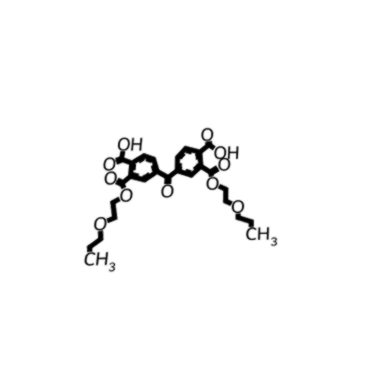 CCCOCCOC(=O)c1cc(C(=O)c2ccc(C(=O)O)c(C(=O)OCCOCCC)c2)ccc1C(=O)O